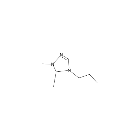 CCCN1C=NN(C)C1C